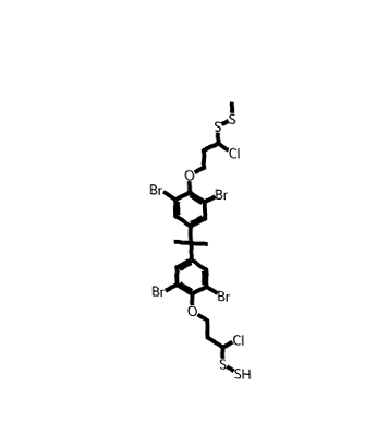 CSSC(Cl)CCOc1c(Br)cc(C(C)(C)c2cc(Br)c(OCCC(Cl)SS)c(Br)c2)cc1Br